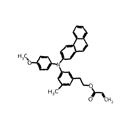 C=CC(=O)OCCc1cc(C)cc(N(c2ccc(OC)cc2)c2ccc3c(ccc4ccccc43)c2)c1